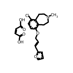 CN1CCc2c(Cl)ccc(OCC=Cc3ccco3)c2CC1.O=C(O)/C=C\C(=O)O